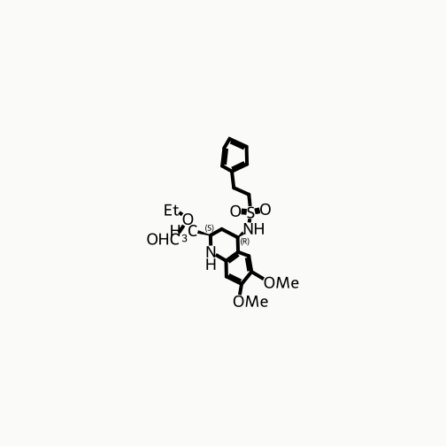 CCOC=O.COc1cc2c(cc1OC)[C@H](NS(=O)(=O)CCc1ccccc1)C[C@H](C)N2